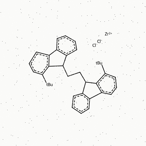 CC(C)(C)c1cccc2c1C(CCC1c3ccccc3-c3cccc(C(C)(C)C)c31)c1ccccc1-2.[Cl-].[Cl-].[Zr+2]